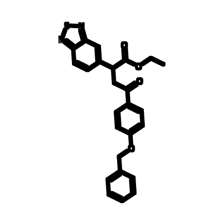 CCOC(=O)C(CC(=O)c1ccc(OCc2ccccc2)cc1)c1ccc2nsnc2c1